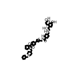 O=C(NCc1cc(-c2ccc(C(O)(C(=O)OCC3CCN(Cc4ccccc4)CC3)c3ccccc3)cc2)cs1)c1ccc(CNC[C@H](O)c2ccc(O)c3[nH]c(=O)ccc23)cc1